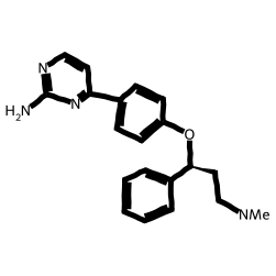 CNCC[C@H](Oc1ccc(-c2ccnc(N)n2)cc1)c1ccccc1